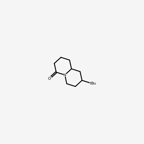 CC(C)(C)C1CCN2C(=O)CCCC2C1